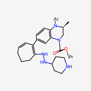 CC(=O)N1c2ccc(C3=C(NNC4CCNCC4)CCCC=C3)cc2N(C(=O)OC(C)C)C[C@@H]1C